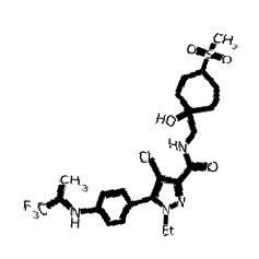 CCn1nc(C(=O)NCC2(O)CCC(S(C)(=O)=O)CC2)c(Cl)c1-c1ccc(NC(C)C(F)(F)F)cc1